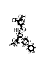 Cc1ncc(-c2nc(NC(=O)c3cnc(O)c(Cl)c3)sc2N2CCN(C3CCCCC3)CC2)o1